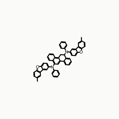 Cc1ccc2oc3ccc(N(c4ccccc4)c4cc5c(c6ccccc46)CC(N(c4ccccc4)c4ccc6oc7ccc(C)cc7c6c4)c4ccccc4-5)cc3c2c1